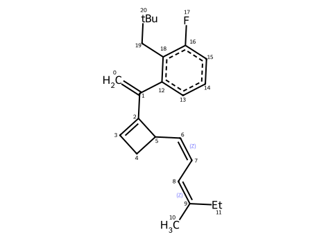 C=C(C1=CCC1/C=C\C=C(\C)CC)c1cccc(F)c1CC(C)(C)C